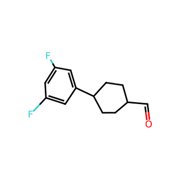 O=CC1CCC(c2cc(F)cc(F)c2)CC1